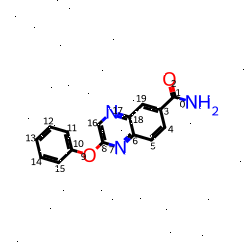 NC(=O)c1ccc2nc(Oc3ccccc3)cnc2c1